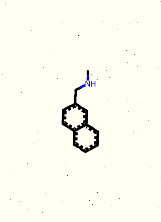 CNCc1ccc2ccccc2c1